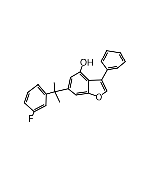 CC(C)(c1cccc(F)c1)c1cc(O)c2c(-c3ccccc3)coc2c1